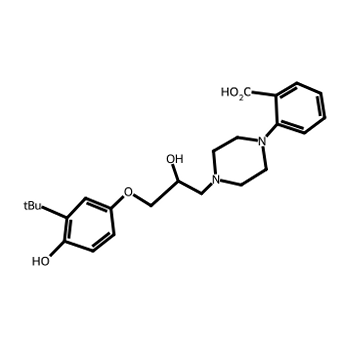 CC(C)(C)c1cc(OCC(O)CN2CCN(c3ccccc3C(=O)O)CC2)ccc1O